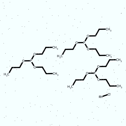 CCCOP(OCCC)OCCC.CCCOP(OCCC)OCCC.CCCOP(OCCC)OCCC.[Cl][Rh]